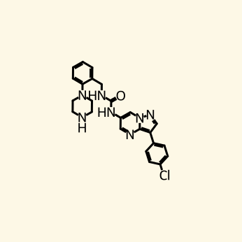 O=C(NCc1ccccc1N1CCNCC1)Nc1cnc2c(-c3ccc(Cl)cc3)cnn2c1